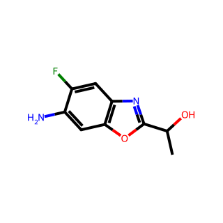 CC(O)c1nc2cc(F)c(N)cc2o1